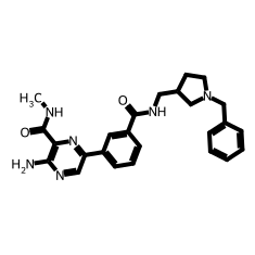 CNC(=O)c1nc(-c2cccc(C(=O)NCC3CCN(Cc4ccccc4)C3)c2)cnc1N